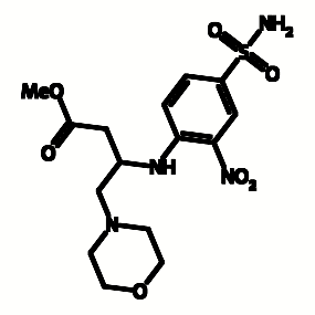 COC(=O)CC(CN1CCOCC1)Nc1ccc(S(N)(=O)=O)cc1[N+](=O)[O-]